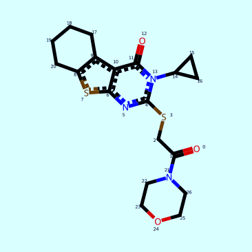 O=C(CSc1nc2sc3c(c2c(=O)n1C1CC1)CCCC3)N1CCOCC1